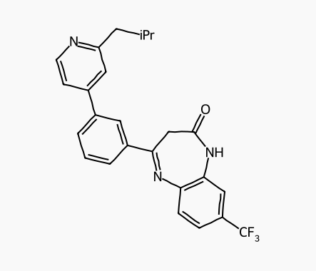 CC(C)Cc1cc(-c2cccc(C3=Nc4ccc(C(F)(F)F)cc4NC(=O)C3)c2)ccn1